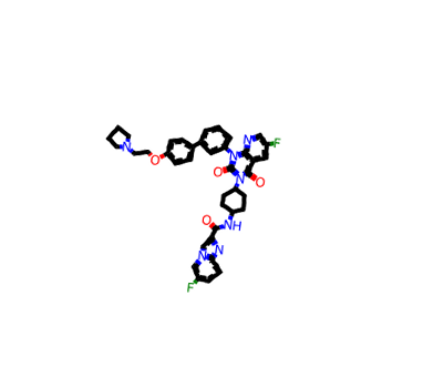 O=C(NC1CCC(n2c(=O)c3cc(F)cnc3n(-c3cccc(-c4ccc(OCCN5CCCC5)cc4)c3)c2=O)CC1)c1cn2cc(F)ccc2n1